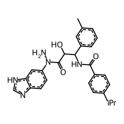 Cc1cccc(C(NC(=O)c2ccc(C(C)C)cc2)C(O)C(=O)N(N)c2ccc3nc[nH]c3c2)c1